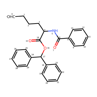 O=[C]CCCC(NC(=O)c1ccccc1)C(=O)OC(c1ccccc1)c1ccccc1